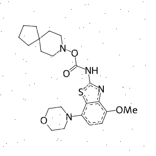 COc1ccc(N2CCOCC2)c2sc(NC(=O)ON3CCC4(CCCC4)CC3)nc12